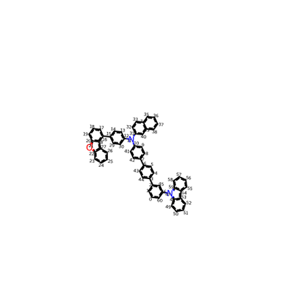 c1cc(-c2ccc(-c3ccc(N(c4ccc(-c5cccc6oc7ccccc7c56)cc4)c4ccc5ccccc5c4)cc3)cc2)cc(-n2c3ccccc3c3ccccc32)c1